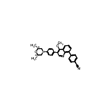 COc1c(-c2ccc(N3C[C@@H](C)O[C@@H](C)C3)cc2)cnc2c(-c3ccc(C#N)cc3)cccc12